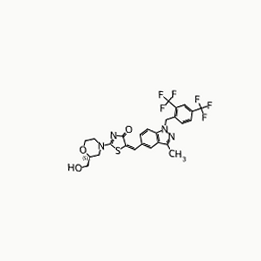 Cc1nn(Cc2ccc(C(F)(F)F)cc2C(F)(F)F)c2ccc(C=C3SC(N4CCO[C@H](CO)C4)=NC3=O)cc12